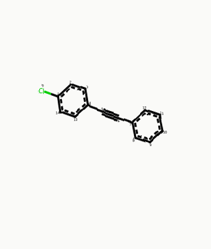 Clc1ccc(C#Cc2[c]cccc2)cc1